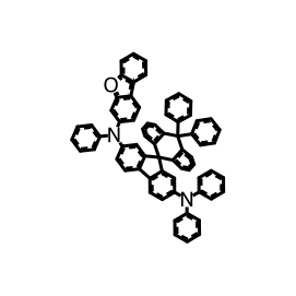 c1ccc(N(c2ccccc2)c2ccc3c(c2)C2(c4cc(N(c5ccccc5)c5ccc6c(c5)oc5ccccc56)ccc4-3)c3ccccc3C(c3ccccc3)(c3ccccc3)c3ccccc32)cc1